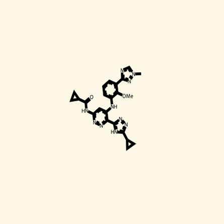 COc1c(Nc2cc(NC(=O)C3CC3)nnc2-c2nnc(C3CC3)[nH]2)cccc1-c1ncn(C)n1